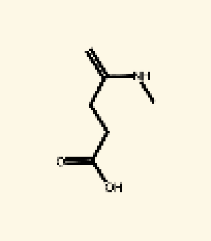 C=C(CCC(=O)O)NC